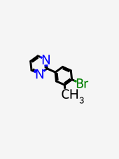 Cc1cc(-c2ncccn2)ccc1Br